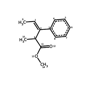 CC=C(c1ccccc1)C(C)C(=O)OC